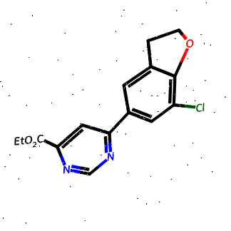 CCOC(=O)c1cc(-c2cc(Cl)c3c(c2)CCO3)ncn1